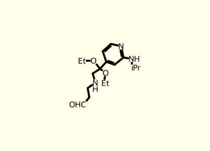 CCOC(CNCCC=O)(OCC)c1ccnc(NC(C)C)c1